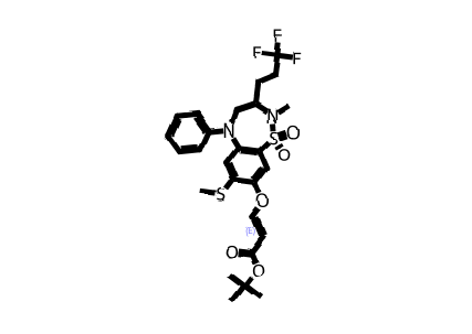 CSc1cc2c(cc1O/C=C/C(=O)OC(C)(C)C)S(=O)(=O)N(C)C(CCC(F)(F)F)CN2c1ccccc1